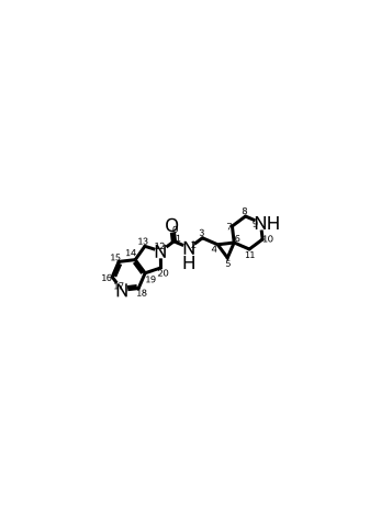 O=C(NCC1CC12CCNCC2)N1Cc2ccncc2C1